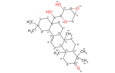 CC1(C)CCC2(C(O)C3OCC4OC4C3O)CCC3C(=CCC4C3(C)CCC3C(C)(C)C(=O)CCC34C)C2C1